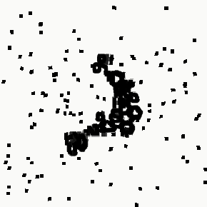 COc1cc(-c2nccc(-c3cccc(NC(=O)c4nc5c(n4C)CCN(CCC(=O)O)C5)c3Cl)c2Cl)ccc1CNC[C@@H]1CCC(=O)N1